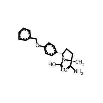 C[C@]1(C(N)=O)CC[C@@H](c2ccc(OCc3ccccc3)cc2)N1C(=O)O